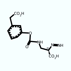 N=N[C@H](CNC(=O)Oc1cccc(CC(=O)O)c1)C(=O)O